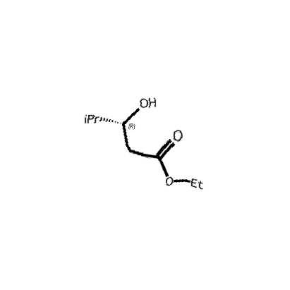 CCOC(=O)C[C@@H](O)C(C)C